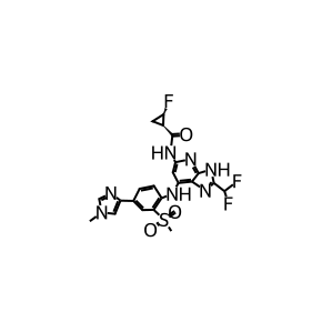 Cn1cnc(-c2ccc(Nc3cc(NC(=O)[C@H]4C[C@H]4F)nc4[nH]c(C(F)F)nc34)c(S(C)(=O)=O)c2)c1